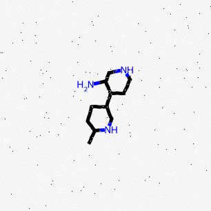 CC1CCC(C2CCNCC2N)CN1